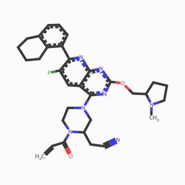 C=CC(=O)N1CCN(c2nc(OCC3CCCN3C)nc3nc(-c4cccc5c4CCCC5)c(F)cc23)CC1CC#N